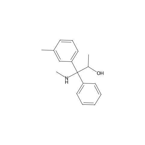 CNC(c1ccccc1)(c1cccc(C)c1)C(C)O